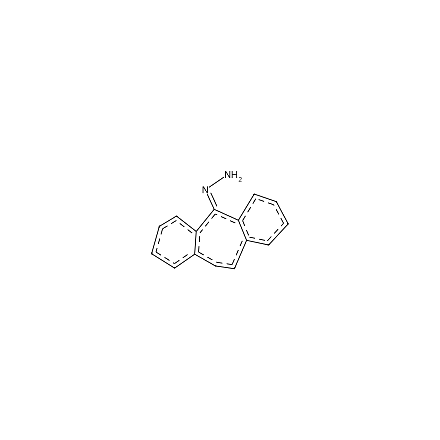 NN=c1c2ccccc2ccc2ccccc12